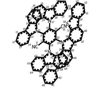 N#Cc1c(-n2c3ccccc3c3ccccc32)c(-n2c3ccccc3c3ccccc32)c(C#N)c(-n2c3cc(-c4ccccc4)ccc3c3ccc4c5ccccc5sc4c32)c1-n1c2ccccc2c2ccccc21